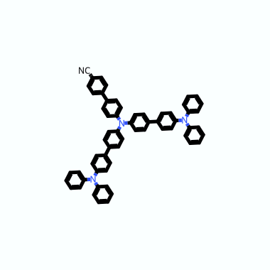 N#Cc1ccc(-c2ccc(N(c3ccc(-c4ccc(N(c5ccccc5)c5ccccc5)cc4)cc3)c3ccc(-c4ccc(N(c5ccccc5)c5ccccc5)cc4)cc3)cc2)cc1